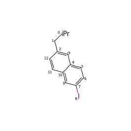 CC(C)Cc1[c]c2ccc(I)cc2cc1